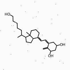 C=C1C(=CC=C2CCCC3(C)C2CCC3C(C)CCCCCO)CC(O)CC1O